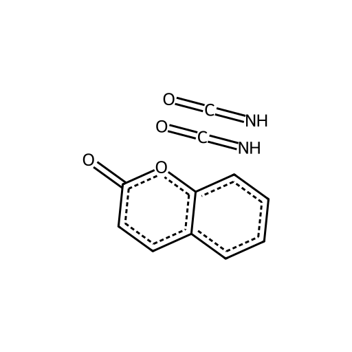 N=C=O.N=C=O.O=c1ccc2ccccc2o1